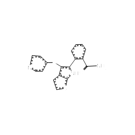 NC(=O)c1ccccc1-c1[nH]c2sccc2c1Sc1ccncc1